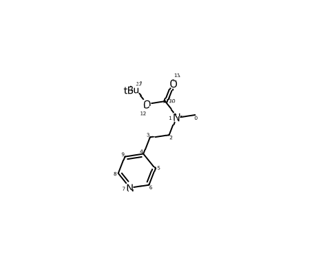 CN(CCc1ccncc1)C(=O)OC(C)(C)C